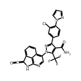 NC(=O)c1c(-c2ccc(-n3cccn3)c(Cl)c2)nn(-c2cnc3[nH]c(=C=O)c4cccc2c34)c1C(F)(F)F